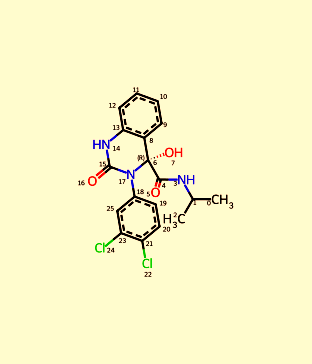 CC(C)NC(=O)[C@]1(O)c2ccccc2NC(=O)N1c1ccc(Cl)c(Cl)c1